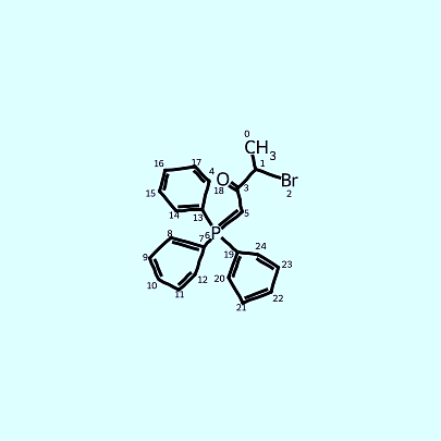 CC(Br)C(=O)C=P(c1ccccc1)(c1ccccc1)c1ccccc1